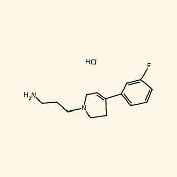 Cl.NCCCN1CC=C(c2cccc(F)c2)CC1